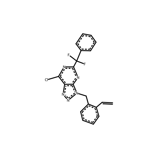 C=Cc1ccccc1Cn1nnc2c(Cl)nc(C(F)(F)c3ccccc3)nc21